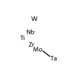 [Mo][Ta].[Nb].[Ti].[W].[Zr]